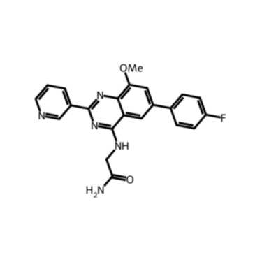 COc1cc(-c2ccc(F)cc2)cc2c(NCC(N)=O)nc(-c3cccnc3)nc12